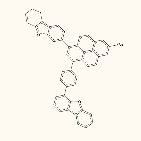 CC(C)(C)c1cc2ccc3c(-c4ccc(-c5cccc6c5oc5ccccc56)cc4)cc(-c4ccc5c6c(oc5c4)C=CCC6)c4ccc(c1)c2c34